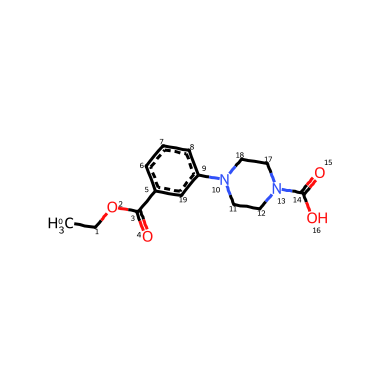 CCOC(=O)c1cccc(N2CCN(C(=O)O)CC2)c1